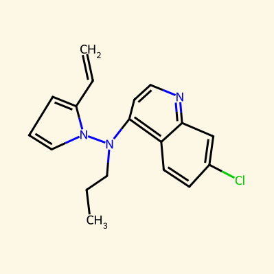 C=Cc1cccn1N(CCC)c1ccnc2cc(Cl)ccc12